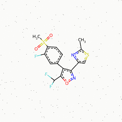 Cc1nc(-c2noc(C(F)F)c2-c2ccc(S(C)(=O)=O)c(F)c2)cs1